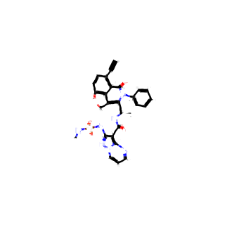 C#Cc1ccc2c3c(c([C@@H](C)NC(=O)c4c(NS(=O)(=O)NC)nn5cccnc45)n(-c4ccccc4)c(=O)c13)CO2